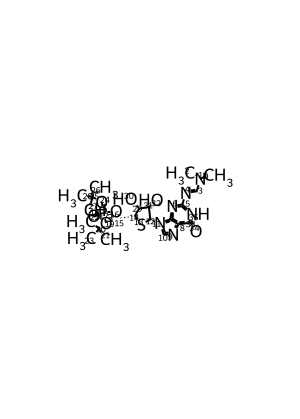 CN(C)/C=N/c1nc2c(ncn2[C@@H]2S[C@H](COP(=O)(OC(C)(C)C)OC(C)(C)C)[C@@H](O)[C@H]2O)c(=O)[nH]1